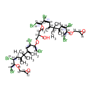 C=C(/C=C(Br)\C(=C\Br)OCC(O)COC(=C\Br)/C(Br)=C\C(=C)C(C)(C)C(=C)/C=C(Br)\C(=C\Br)OCC1CO1)C(C)(C)C(=C)/C=C(Br)\C(=C\Br)OCC1CO1